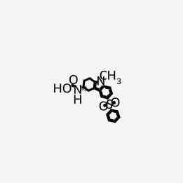 Cn1c2c(c3cc(S(=O)(=O)c4ccccc4)ccc31)C[C@H](NC(=O)O)CC2